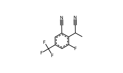 CC(C#N)c1c(F)cc(C(F)(F)F)cc1C#N